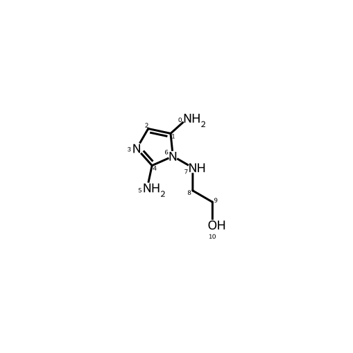 Nc1cnc(N)n1NCCO